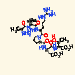 CC[C@H](C)[C@H](NC(=O)[C@H](C)N)C(=O)N[C@@H](CCCNC(=N)N)C(=O)N1CCC[C@H]1C(=O)N[C@@H](CC(=O)O)C(=O)N[C@H](C(=O)O)[C@@H](C)O